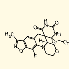 CC[C@@H]1OCCN2c3c(cc4c(C)noc4c3F)CC3(C(=O)NC(=O)NC3=O)[C@@H]12